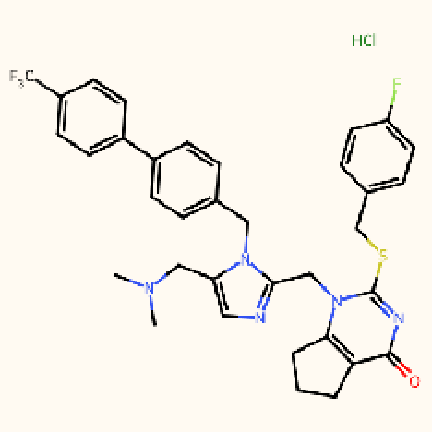 CN(C)Cc1cnc(Cn2c(SCc3ccc(F)cc3)nc(=O)c3c2CCC3)n1Cc1ccc(-c2ccc(C(F)(F)F)cc2)cc1.Cl